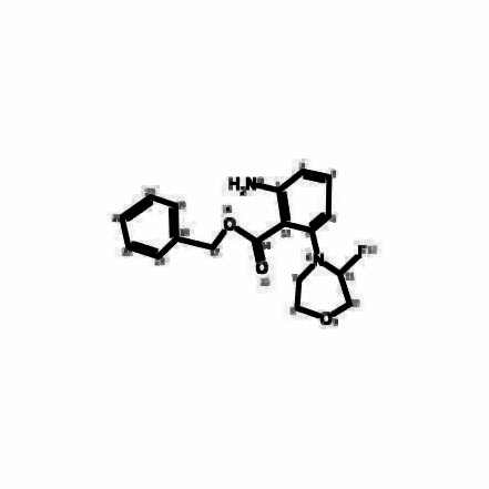 Nc1cccc(N2CCOCC2F)c1C(=O)OCc1ccccc1